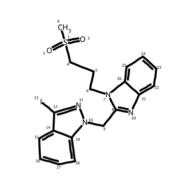 CS(=O)(=O)CCCn1c(Cn2nc(I)c3ccccc32)nc2ccccc21